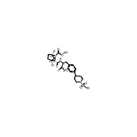 CC(C)S(=O)(=O)N1CCC(c2ccc(C[C@H](NC(=O)[C@@H]3[C@H]4CC[C@H](C4)N3C(=O)OC(C)(C)C)C(N)=O)cc2)CC1